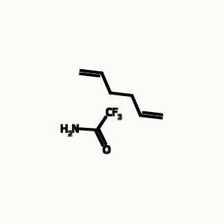 C=CCCC=C.NC(=O)C(F)(F)F